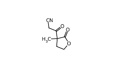 CC1(C(=O)CC#N)CCOC1=O